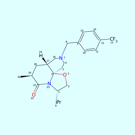 CC(C)[C@H]1CO[C@]23CCN(Cc4ccc(C(F)(F)F)cc4)C[C@H]2C[C@H](C)C(=O)N13